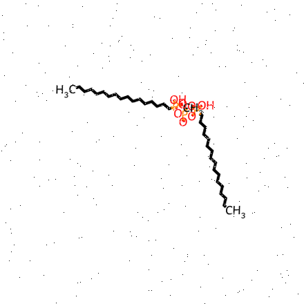 CCCCCCCCCCCCCCCCCP(=O)(O)OP(C)(=O)OP(=O)(O)CCCCCCCCCCCCCCCCC